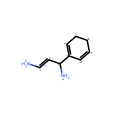 N/C=C/C(N)C1=CCCC=C1